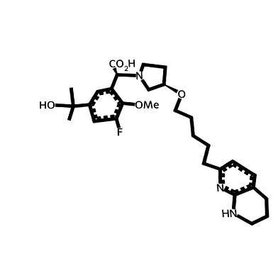 COc1c(F)cc(C(C)(C)O)cc1[C@@H](C(=O)O)N1CC[C@@H](OCCCCCc2ccc3c(n2)NCCC3)C1